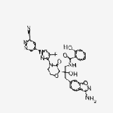 N#Cc1cc(-n2cc(F)c(N3CCO[C@H](C(O)(CNC(=O)c4ccccc4O)Cc4ccc5c(N)noc5c4)C3=O)n2)cnn1